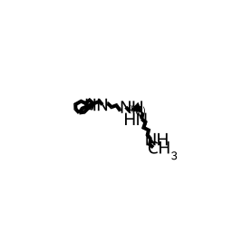 CCNCCCCNC[C@@H]1C[C@H]1CNCCCCNCC12CC3CCCC(C1)C(C3)C2